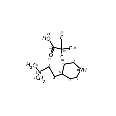 CN(C)CCC1CCNCC1.O=C(O)C(F)(F)F